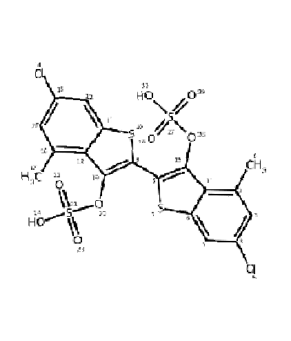 Cc1cc(Cl)cc2sc(-c3sc4cc(Cl)cc(C)c4c3OS(=O)(=O)O)c(OS(=O)(=O)O)c12